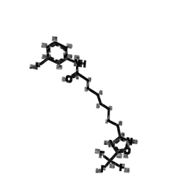 O=C(CCCCCCCc1noc(C(F)(F)F)n1)Nc1cccc(F)c1